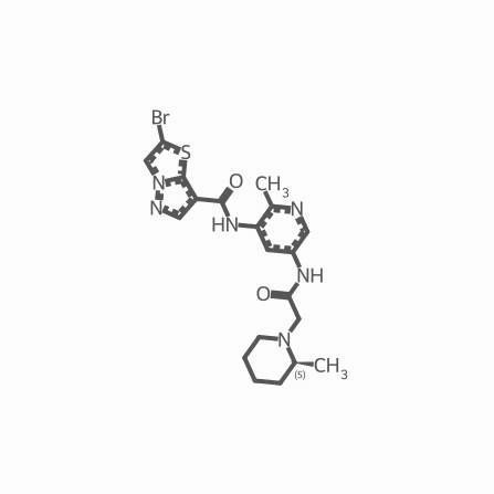 Cc1ncc(NC(=O)CN2CCCC[C@@H]2C)cc1NC(=O)c1cnn2cc(Br)sc12